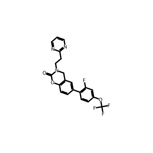 O=C1Oc2ccc(-c3ccc(OC(F)(F)F)cc3F)cc2CN1CCc1ncccn1